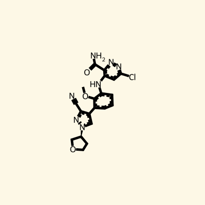 COc1c(Nc2cc(Cl)nnc2C(N)=O)cccc1-c1cn([C@H]2CCOC2)nc1C#N